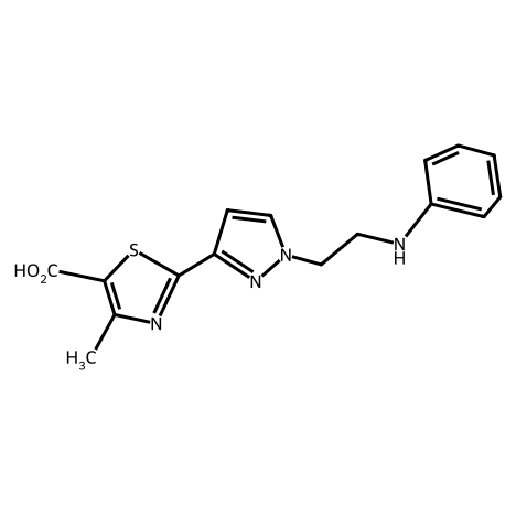 Cc1nc(-c2ccn(CCNc3ccccc3)n2)sc1C(=O)O